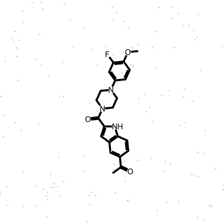 COc1ccc(N2CCN(C(=O)c3cc4cc(C(C)=O)ccc4[nH]3)CC2)cc1F